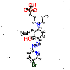 CCCN(CCCS(=O)(=O)O)c1ccc(/N=N/c2ccc(Br)cn2)c(O)c1.[NaH]